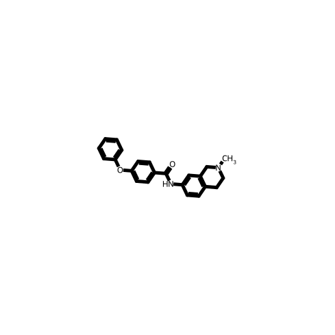 CN1CCc2ccc(NC(=O)c3ccc(Oc4ccccc4)cc3)cc2C1